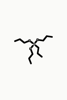 CCC[O][Ti]([CH2]CC)([O]CCC)[O]CCC